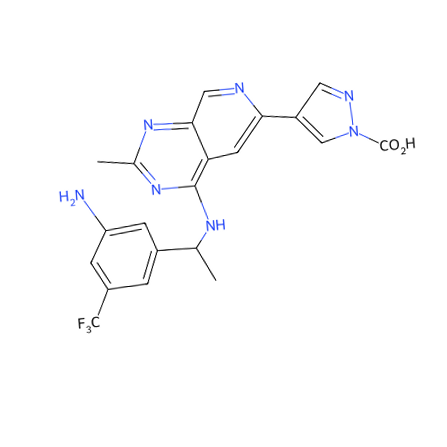 Cc1nc(NC(C)c2cc(N)cc(C(F)(F)F)c2)c2cc(-c3cnn(C(=O)O)c3)ncc2n1